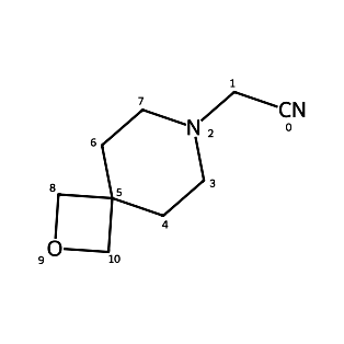 N#CCN1CCC2(CC1)COC2